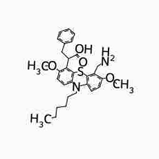 CCCCCCN1c2ccc(OC)c(CN)c2Sc2c1ccc(OC)c2C(Cc1ccccc1)C(=O)O